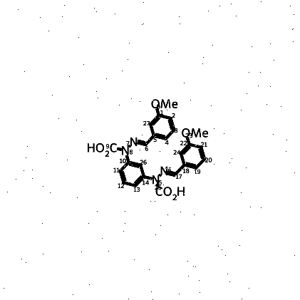 COc1cccc(C=NN(C(=O)O)c2cccc(N(N=Cc3cccc(OC)c3)C(=O)O)c2)c1